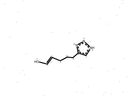 O/C=C/CCCc1c[nH]nn1